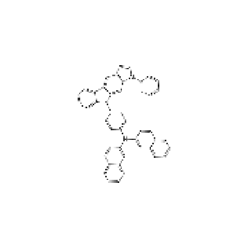 c1ccc(-n2ccc3cc4c5ccccc5n(-c5ccc(N(c6ccc7ccccc7c6)c6ccc7ccccc7c6)cc5)c4cc32)cc1